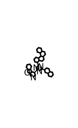 c1ccc2cc(-c3nc(-c4cccc5c4ccc4ccc6ccccc6c45)nc(-c4cncc5oc6ccccc6c45)n3)ccc2c1